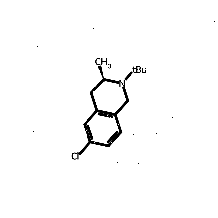 C[C@@H]1Cc2cc(Cl)ccc2CN1C(C)(C)C